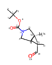 CC(C)(C)OC(=O)N1CC2[C@@H](C1)C2(C)C=O